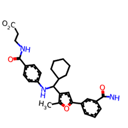 Cc1oc(-c2cccc(C(N)=O)c2)cc1C(Nc1ccc(C(=O)NCCC(=O)O)cc1)C1CCCCC1